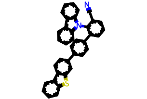 N#Cc1cccc(-c2ccc(-c3ccc4c(c3)sc3ccccc34)cc2)c1-n1c2ccccc2c2ccccc21